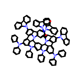 c1ccc(N(c2ccccc2)c2cc3c4c(c2)N(c2ccccc2)c2cc5c(cc2C4n2c4ccc(-n6c7ccccc7c7ccccc76)cc4c4cc(-n6c7ccccc7c7ccccc76)cc-3c42)C2c3c(cc(N(c4ccccc4)c4ccccc4)cc3N5c3ccccc3)-c3cc(-n4c5ccccc5c5ccccc54)cc4c5cc(-n6c7ccccc7c7ccccc76)ccc5n2c34)cc1